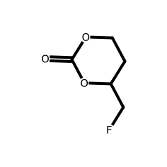 O=C1OCCC(CF)O1